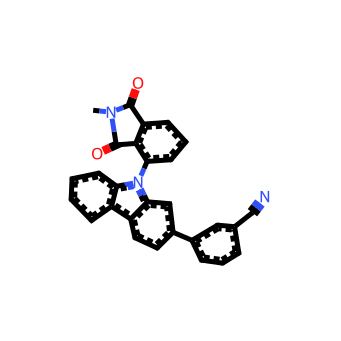 CN1C(=O)c2cccc(-n3c4ccccc4c4ccc(-c5cccc(C#N)c5)cc43)c2C1=O